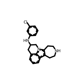 Clc1cccc(NC2Cc3cccc4c5c(n(c34)C2)CCNCC5)c1